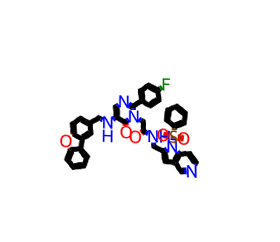 O=C(Cn1c(-c2ccc(F)cc2)ncc(NCc2ccc3oc4ccccc4c3c2)c1=O)NCc1cc2cnccc2n1S(=O)(=O)c1ccccc1